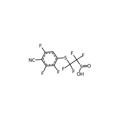 N#Cc1c(F)cc(SC(F)(F)C(F)(F)S(=O)O)c(F)c1F